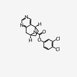 O=C(Oc1ccc(Cl)c(Cl)c1)N1[C@@H]2CC[C@H]1c1cncnc1C2